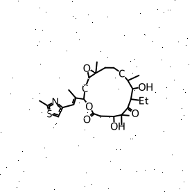 CCC1C(=O)C(C)(C)C(O)CC(=O)OC(C(C)=Cc2csc(C)n2)CC2OC2(C)CCCC(C)C1O